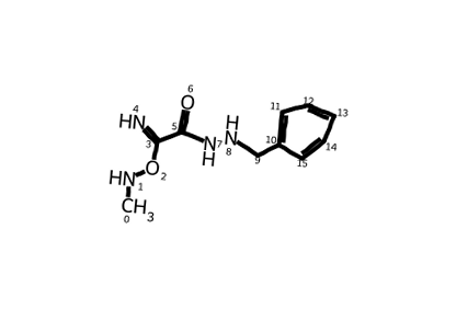 CNOC(=N)C(=O)NNCc1ccccc1